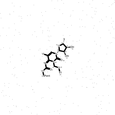 CCCCCOC(=O)/N=c1/c(F)cn([C@@H]2O[C@H](C)[C@@H](O)[C@H]2O)c(=O)n1COCC